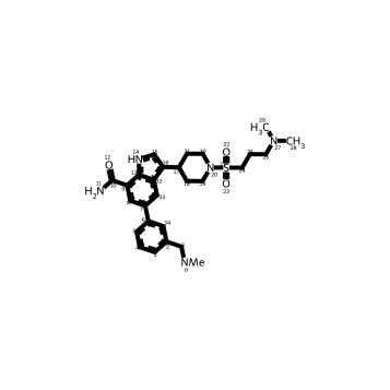 CNCc1cccc(-c2cc(C(N)=O)c3[nH]cc(C4CCN(S(=O)(=O)CCCN(C)C)CC4)c3c2)c1